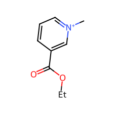 CCOC(=O)c1ccc[n+](C)c1